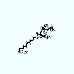 CCCCCCCCCCCCCCCCCCCOCC(COP(=O)(O)CC[N+](C)(C)C)OC(=O)CCC